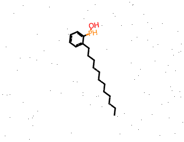 CCCCCCCCCCCCc1ccccc1PO